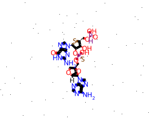 Nc1nc2c(ncn2[C@@H]2S[C@H](CO[PH](=O)O)[C@@H](O)[C@H]2OP(O)(=S)OC[C@]23CO[C@H](C2)[C@H](n2cnc4c(N)ncnc42)O3)c(=O)[nH]1